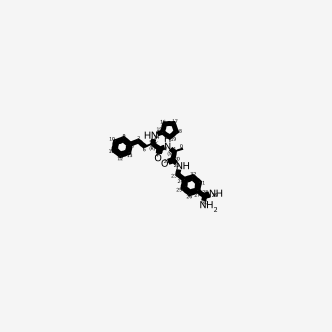 C[C@H](NC(=O)[C@@H](CCc1ccccc1)NC1CCCC1)C(=O)NCc1ccc(C(=N)N)cc1